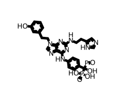 O=PC(O)(c1ccc(Nc2nc(NCCc3cnc[nH]3)nc3c2ncn3CCc2cccc(O)c2)cc1)P(=O)(O)O